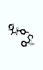 CC(c1cnccn1)N(C)C(=O)c1ccc(C[C@@H]2CC[C@H]([C@H](O)c3ccccc3)C2)cc1